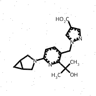 CC(C)(O)c1nc(N2CC3CC3C2)ccc1Cn1cc(C(=O)O)cn1